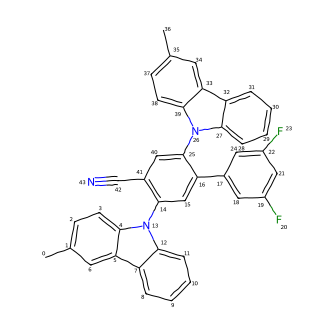 Cc1ccc2c(c1)c1ccccc1n2-c1cc(-c2cc(F)cc(F)c2)c(-n2c3ccccc3c3cc(C)ccc32)cc1C#N